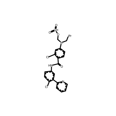 CC(C)CN(CO[SH](=O)=O)c1ccc(C(=O)Nc2ccc(Cl)c(-c3ccccn3)c2)c(Cl)c1